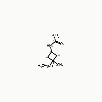 CNC1(C)CC(NC(C)=O)C1